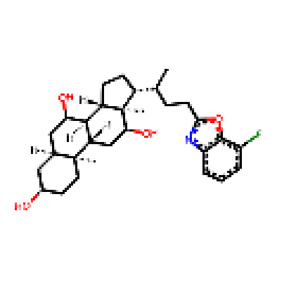 CC(CCc1nc2cccc(F)c2o1)[C@H]1CC[C@H]2[C@@H]3[C@H](O)C[C@@H]4C[C@H](O)CC[C@]4(C)[C@H]3C[C@H](O)[C@]12C